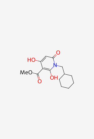 COC(=O)c1c(O)cc(=O)n(CC2CCCCC2)c1O